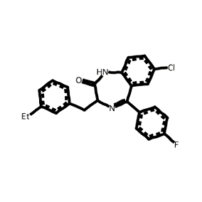 CCc1cccc(CC2N=C(c3ccc(F)cc3)c3cc(Cl)ccc3NC2=O)c1